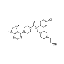 C[C@@H]1C[C@@H](F)c2ncnc(N3CCN(C(=O)[C@H](CN4CCN(CCO)CC4)c4ccc(Cl)cc4)CC3)c21